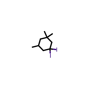 CC1CC(C)(C)CC(I)(I)C1